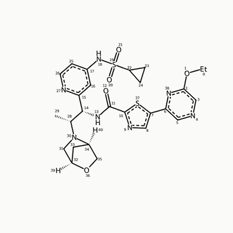 CCOc1cncc(-c2cnc(C(=O)N[C@@H](c3cc(NS(=O)(=O)C4CC4)ccn3)[C@@H](C)N3C[C@H]4C[C@@H]3CO4)s2)n1